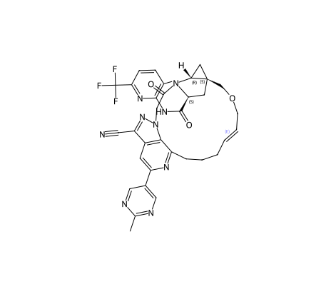 Cc1ncc(-c2cc3c(C#N)nn4c3c(n2)CCC/C=C/COC[C@@]23C[C@@H](C(=O)Nc5nc(C(F)(F)F)ccc5C)N(C(=O)C4)[C@@H]2C3)cn1